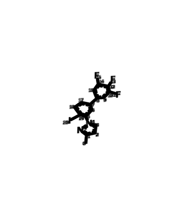 Cc1ccn(-c2cc(-c3cc(F)c(F)c(F)c3)ccc2I)n1